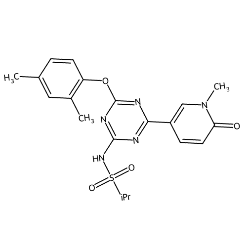 Cc1ccc(Oc2nc(NS(=O)(=O)C(C)C)nc(-c3ccc(=O)n(C)c3)n2)c(C)c1